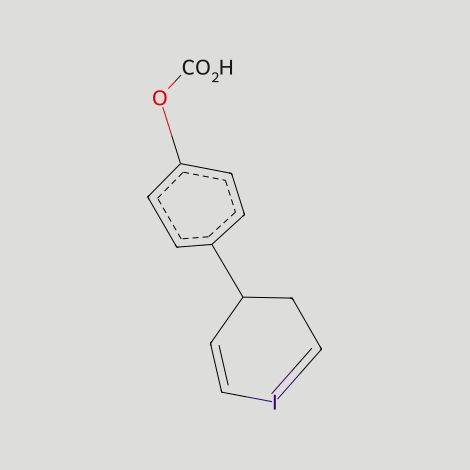 O=C(O)Oc1ccc(C2C=CI=CC2)cc1